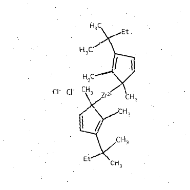 CCC(C)(C)C1=C(C)[C](C)([Zr+2][C]2(C)C=CC(C(C)(C)CC)=C2C)C=C1.[Cl-].[Cl-]